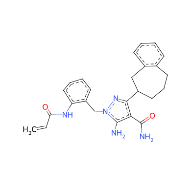 C=CC(=O)Nc1ccccc1Cn1nc(C2CCCc3ccccc3C2)c(C(N)=O)c1N